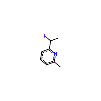 Cc1cccc(C(C)I)n1